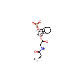 C=CC(=O)NCC(=O)OC1C(O[SH](=O)=O)C2CCC1C2(C)C